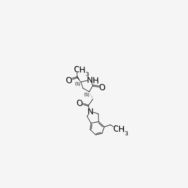 CCc1cccc2c1CN(C(=O)C[C@@H]1C[C@@H](C(C)=O)NC1=O)C2